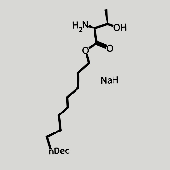 CCCCCCCCCCCCCCCCCCOC(=O)[C@@H](N)[C@@H](C)O.[NaH]